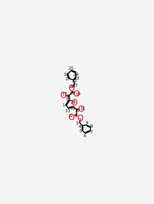 O=C(OCc1ccccc1)C(=O)c1ccc(C(=O)C(=O)OCc2ccccc2)o1